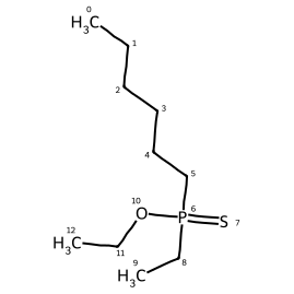 CCCCCCP(=S)(CC)OCC